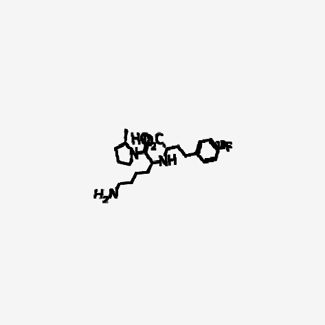 C[C@@H]1CCCN1C(=O)[C@H](CCCCN)N[C@@H](CCc1ccc([18F])cc1)C(=O)O